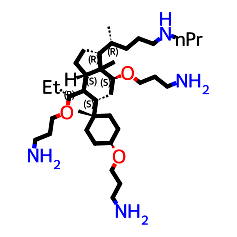 CCCNCCC[C@@H](C)[C@H]1CC[C@H]2C([C@@H](CC)OCCCN)[C@@H]([C@]3(C)CC[C@H](OCCCN)CC3)C[C@H](OCCCN)C12C